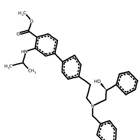 COC(=O)c1ccc(-c2ccc(CCN(Cc3ccccc3)C[C@@H](O)c3ccccc3)cc2)cc1NC(C)C